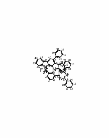 FC(F)(F)c1cccc(-c2nc(-c3ccccc3)nc(-c3ccccc3)n2)c1-n1c2ccccc2c2c(-c3ccccc3)cc3c4ccccc4[nH]c3c21